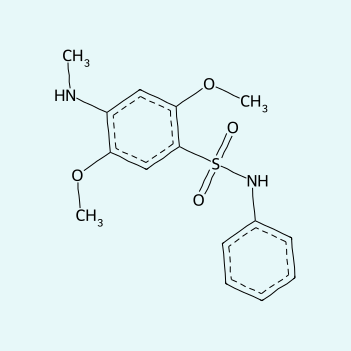 CNc1cc(OC)c(S(=O)(=O)Nc2ccccc2)cc1OC